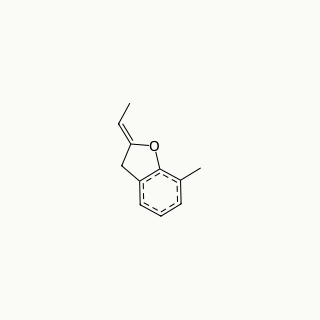 C/C=C1/Cc2cccc(C)c2O1